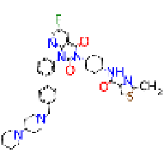 Cc1nc(C(=O)N[C@H]2CC[C@@H](n3c(=O)c4cc(F)cnc4n(-c4cccc(-c5ccc(CN6CCC(N7CCCCC7)CC6)cc5)c4)c3=O)CC2)cs1